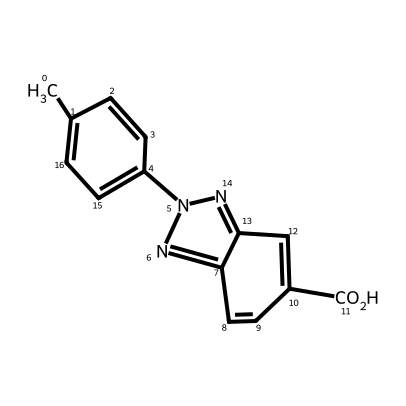 Cc1ccc(-n2nc3ccc(C(=O)O)cc3n2)cc1